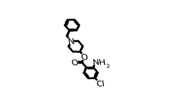 Nc1cc(Cl)ccc1C(=O)OC1CCN(Cc2ccccc2)CC1